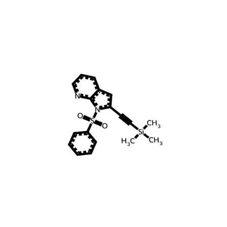 C[Si](C)(C)C#Cc1cc2cccnc2n1S(=O)(=O)c1ccccc1